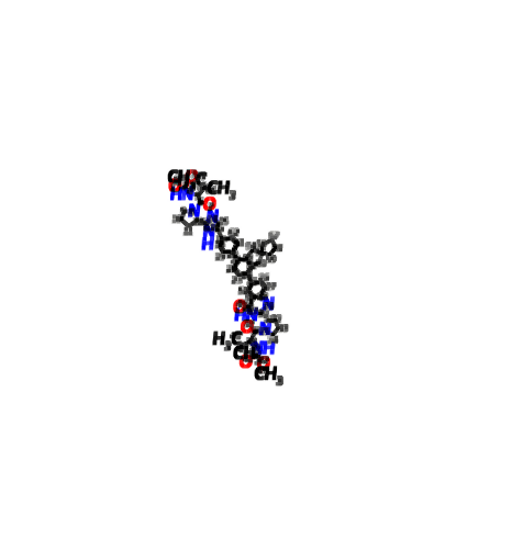 COC(=O)NC(C(=O)N1CCC[C@@H]1c1ncc(-c2ccc(-c3ccc(-c4ccc5nc([C@@H]6CCCN6C(=O)[C@@H](NC(=O)OC)C(C)C)[nH]c(=O)c5c4)c4c3CC3(CCCC3)C4)cc2)[nH]1)C(C)C